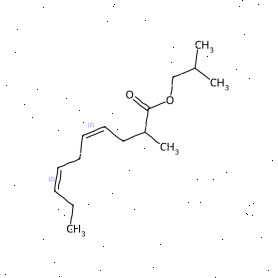 CC/C=C\C/C=C\CC(C)C(=O)OCC(C)C